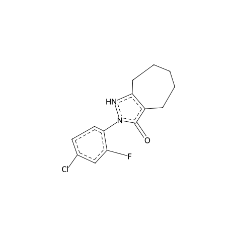 O=c1c2c([nH]n1-c1ccc(Cl)cc1F)CCCCC2